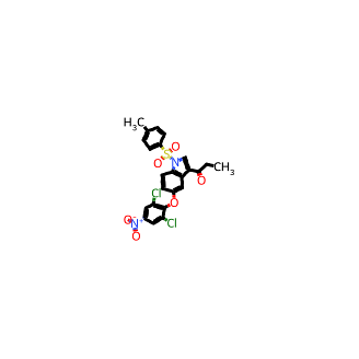 CCC(=O)c1cn(S(=O)(=O)c2ccc(C)cc2)c2ccc(Oc3c(Cl)cc([N+](=O)[O-])cc3Cl)cc12